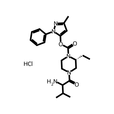 CC[C@@H]1CN(C(=O)C(N)C(C)C)CCN1C(=O)Oc1cc(C)nn1-c1ccccc1.Cl